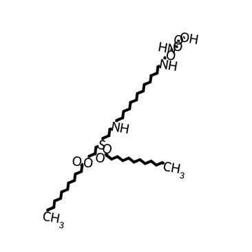 CCCCCCCCCCCC(=O)OCC(CSCCCNCCCCCCCCCCCCCNCONOOO)OC(=O)CCCCCCCCCCC